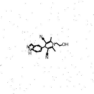 CC1=C(C#N)C(c2ccc3[nH]ncc3c2)C(C#N)=C(C)N1CCO